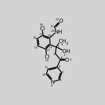 CC(O)(CC(=O)c1ccncc1)c1c(Cl)ccc(Cl)c1NC=O